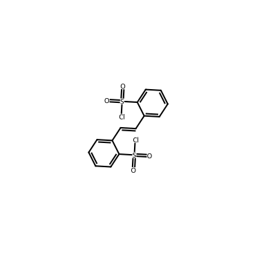 O=S(=O)(Cl)c1ccccc1/C=C/c1ccccc1S(=O)(=O)Cl